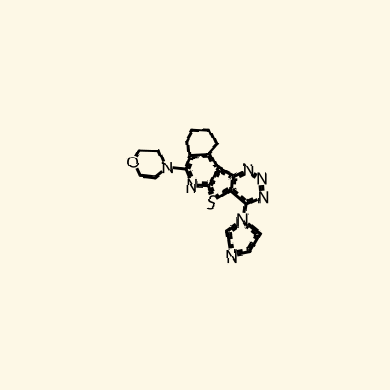 c1cn(-c2nnnc3c2sc2nc(N4CCOCC4)c4c(c23)CCCC4)cn1